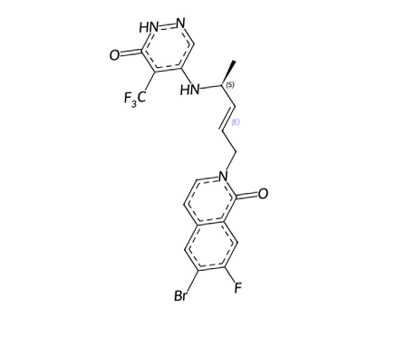 C[C@@H](/C=C/Cn1ccc2cc(Br)c(F)cc2c1=O)Nc1cn[nH]c(=O)c1C(F)(F)F